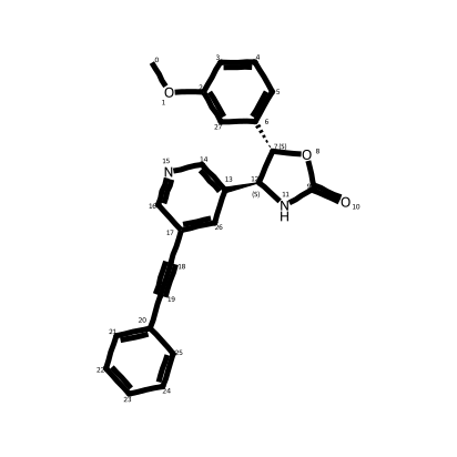 COc1cccc([C@@H]2OC(=O)N[C@H]2c2cncc(C#Cc3ccccc3)c2)c1